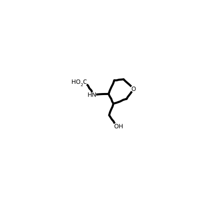 O=C(O)NC1CCOCC1CO